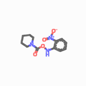 O=C(ONc1ccccc1[N+](=O)[O-])N1CCCCC1